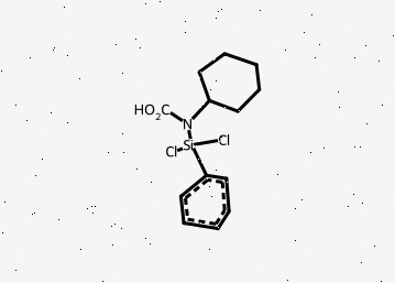 O=C(O)N(C1CCCCC1)[Si](Cl)(Cl)c1ccccc1